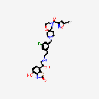 CC(C)c1cc(C(=O)N2CCOC3(CCN(Cc4cc(F)cc(CCNC[C@H](O)c5ccc(O)c6[nH]c(=O)sc56)c4)CC3)C2)no1